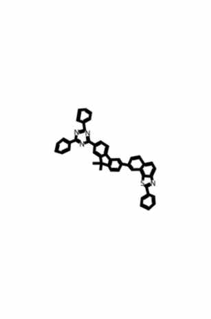 CC1(C)c2ccc(-c3ccc4ccc5nc(-c6ccccc6)sc5c4c3)cc2-c2ccc(-c3nc(-c4ccccc4)nc(-c4ccccc4)n3)cc21